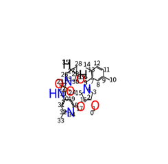 COC1CN(C(=O)c2cc(C)ccc2C)CC1Oc1cc(NS(=O)(=O)N2C[C@@H]3C[C@H]3C2)cc(C)n1